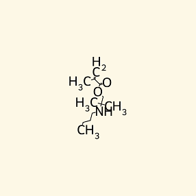 C=C(C)C(=O)OCC(C)(C)NCCCC